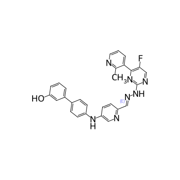 Cc1ncccc1-c1nc(N/N=C/c2ccc(Nc3ccc(-c4cccc(O)c4)cc3)cn2)ncc1F